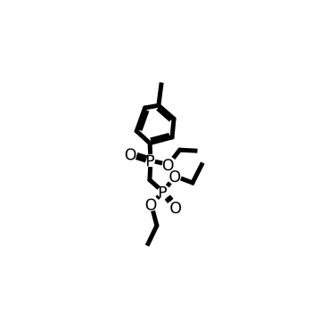 CCOP(=O)(CP(=O)(OCC)c1ccc(C)cc1)OCC